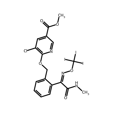 CNC(=O)C(=NOC(I)(I)I)c1ccccc1COc1ncc(C(=O)OC)cc1Cl